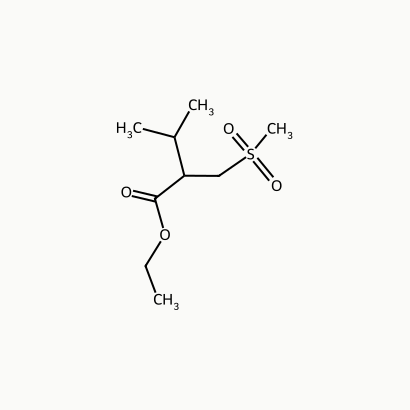 CCOC(=O)C(CS(C)(=O)=O)C(C)C